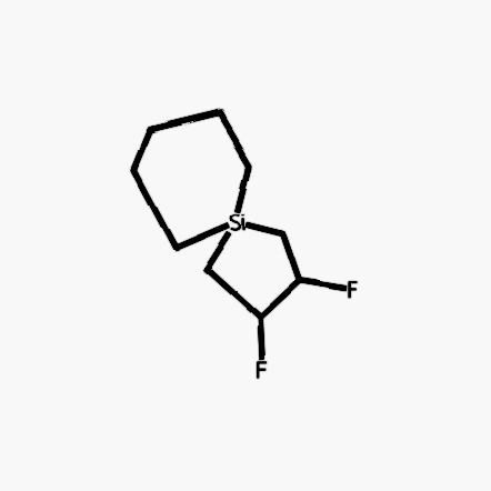 FC1C[Si]2(CCCCC2)CC1F